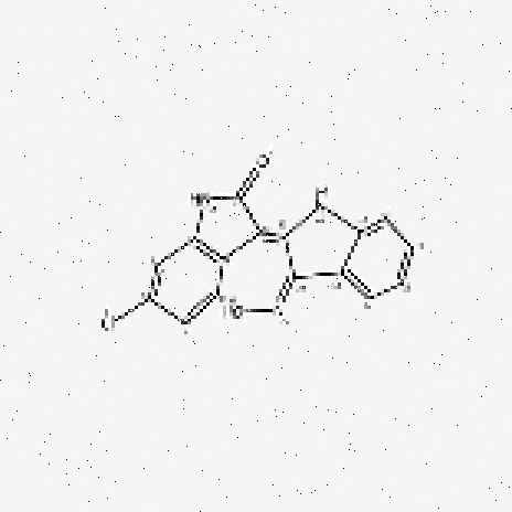 O=C1Nc2cc(Cl)ccc2/C1=C1/Nc2ccccc2/C1=N/O